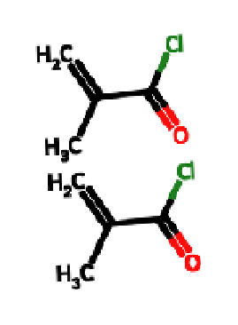 C=C(C)C(=O)Cl.C=C(C)C(=O)Cl